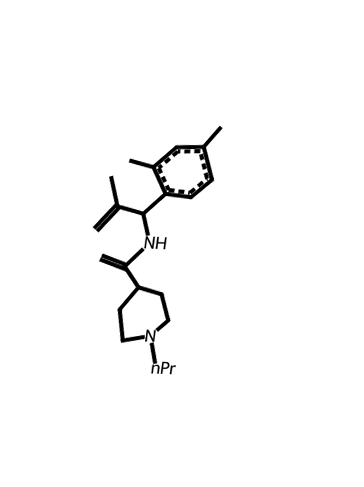 C=C(NC(C(=C)C)c1ccc(C)cc1C)C1CCN(CCC)CC1